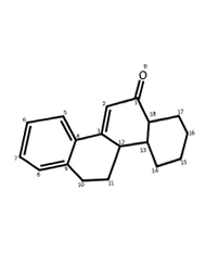 O=C1C=C2c3ccccc3CCC2C2CCCCC12